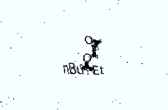 [CH2]CCCC(CC)OCC1CO1